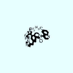 Cc1ccc2nccc(N3CCc4c(cc(Cc5cnc[nH]5)cc4-c4cn(C)nc4C(F)(F)F)C3=O)c2c1